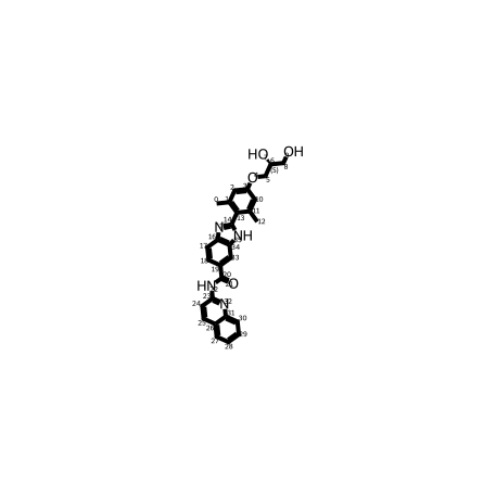 Cc1cc(OC[C@@H](O)CO)cc(C)c1-c1nc2ccc(C(=O)Nc3ccc4ccccc4n3)cc2[nH]1